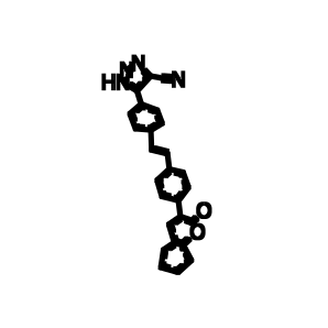 N#Cc1nn[nH]c1-c1ccc(/C=C/c2ccc(-c3cc4ccccc4oc3=O)cc2)cc1